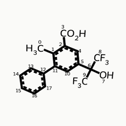 Cc1c(C(=O)O)cc(C(O)(C(F)(F)F)C(F)(F)F)cc1-c1ccccc1